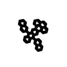 c1ccc2cc(-c3c4ccccc4c(-c4ccc5ccccc5c4)c4cc(-c5cccc6ccc7cccnc7c56)ccc34)ccc2c1